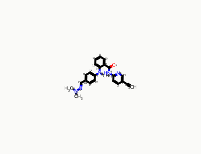 C#Cc1ccc(NC(=O)c2ccccc2N(C=O)c2ccc(C=NN(C)C)cc2)nc1